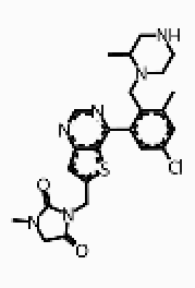 Cc1cc(Cl)cc(-c2ncnc3cc(CN4C(=O)CN(C)C4=O)sc23)c1CN1CCNCC1C